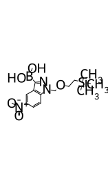 C[Si](C)(C)CCOCn1nc(B(O)O)c2cc([N+](=O)[O-])ccc21